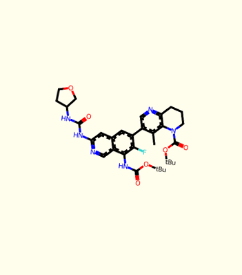 Cc1c(-c2cc3cc(NC(=O)NC4CCOC4)ncc3c(NC(=O)OC(C)(C)C)c2F)cnc2c1N(C(=O)OC(C)(C)C)CCC2